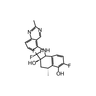 Cc1ncc2c(NC3c4ccc(F)c(O)c4[C@H](C)C[C@]3(O)C(F)(F)F)cccc2n1